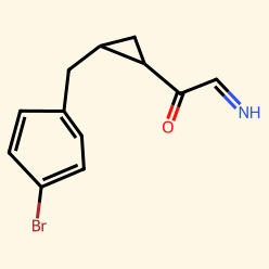 N=CC(=O)C1CC1Cc1ccc(Br)cc1